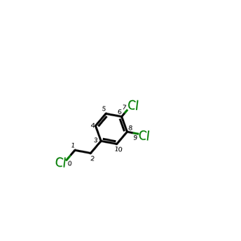 ClCCc1ccc(Cl)c(Cl)c1